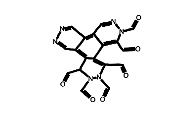 O=CC1=c2c(c3cnncc3c3c2=C(C=O)N(C=O)N(C=O)C3C=O)C=NN1C=O